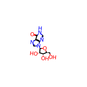 O=c1[nH]cnc2c1ncn2[C@H]1O[C@@H](CO)[C@H](O)[C@@H]1O